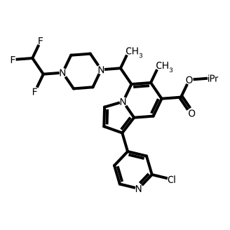 Cc1c(C(=O)OC(C)C)cc2c(-c3ccnc(Cl)c3)ccn2c1C(C)N1CCN(C(F)C(F)F)CC1